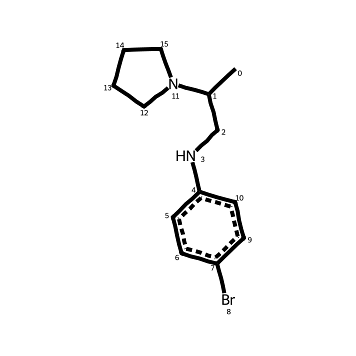 CC(CNc1ccc(Br)cc1)N1CCCC1